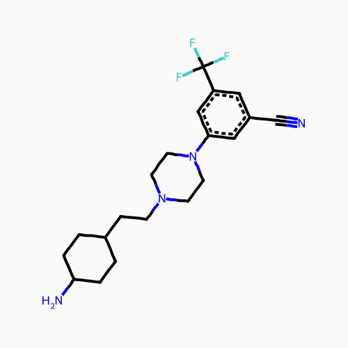 N#Cc1cc(N2CCN(CCC3CCC(N)CC3)CC2)cc(C(F)(F)F)c1